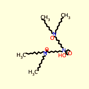 CCCCCCCCCCN(CCCCCCCCCC)C(=O)CCCCCCCN(CCCCCCCC(=O)N(CCCCCCCCCC)CCCCCCCCCC)[C@@H]1CCOC[C@H]1O